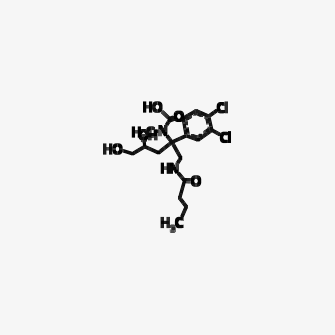 CCCC(=O)NCC(CC(O)CO)(c1ccc(Cl)c(Cl)c1)N(C)C(=O)O